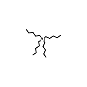 CCCC[CH2][Al-]([CH2]CCCC)([CH2]CCCC)[CH2]CCCC